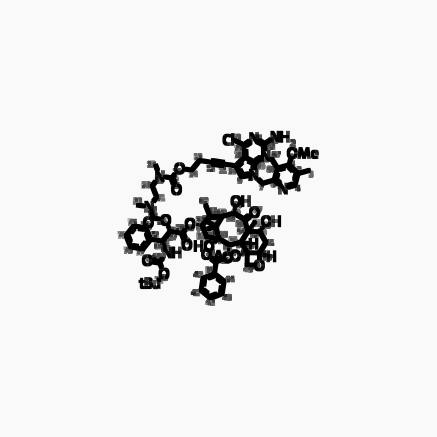 COc1c(C)cnc(Cn2cc(C#CCCOC(=O)N(C)CCN(C)C(=O)O[C@@H](C(=O)O[C@H]3C[C@@]4(O)[C@@H](OC(=O)c5ccccc5)[C@H]5[C@]6(OC(C)=O)CO[C@@H]6C[C@H](O)[C@@]5(C)C(=O)[C@H](O)C(=C3C)C4(C)C)[C@@H](NC(=O)OC(C)(C)C)c3ccccc3)c3c(Cl)nc(N)nc32)c1C